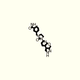 NC(=O)c1cccc(CN2CCN(c3ccc4c(n3)OCc3n[nH]cc3-4)C2=O)c1